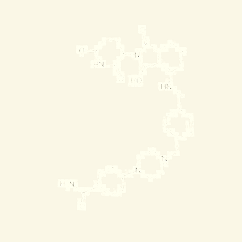 NC(=O)c1ccc(N2CCN(Cc3ccc(CNc4cccc5c4C(O)N(C4CCC(=O)NC4=O)C5=O)cc3)CC2)cc1